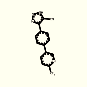 N#Cc1[nH]nnc1-c1ccc(-c2ccc(C(F)(F)F)nc2)cc1